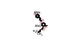 CO[C@@H]1[C@H](OC(=O)/C=C/c2ccc(OSC)cc2)CCC2(CO2)[C@H]1C1O[C@H]1CC=C(C)C